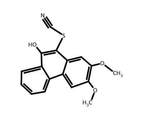 COc1cc2c(SC#N)c(O)c3ccccc3c2cc1OC